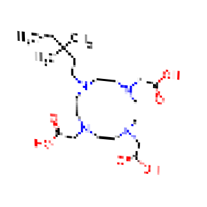 CCC(C)(C)CCN1CCN(CC(=O)O)CCN(CC(=O)O)CCN(CC(=O)O)CC1